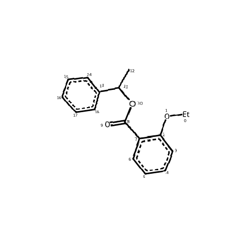 CCOc1ccccc1C(=O)OC(C)c1ccccc1